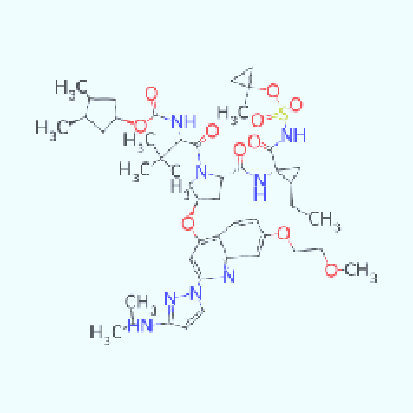 CC[C@@H]1C[C@]1(NC(=O)[C@@H]1C[C@@H](Oc2cc(-n3ccc(NC(C)C)n3)nc3cc(OCCOC)ccc23)CN1C(=O)[C@@H](NC(=O)O[C@H]1C[C@@H](C)[C@@H](C)C1)C(C)(C)C)C(=O)NS(=O)(=O)OC1(C)CC1